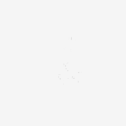 CCCCOc1ccc(-c2cc3n(n2)CC(C)(C(=O)NC2CCCCCC2)N(CC)C3=O)cc1